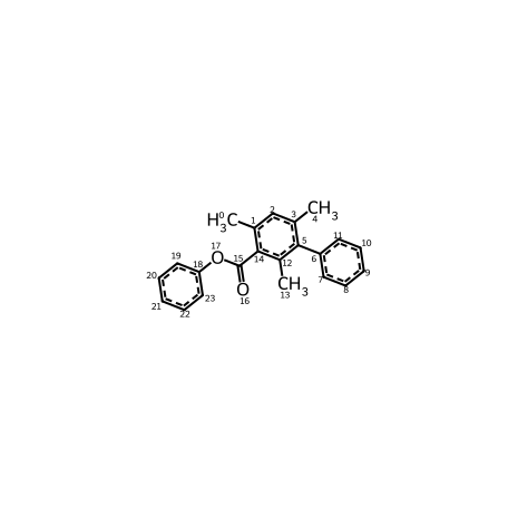 Cc1cc(C)c(-c2ccccc2)c(C)c1C(=O)Oc1ccccc1